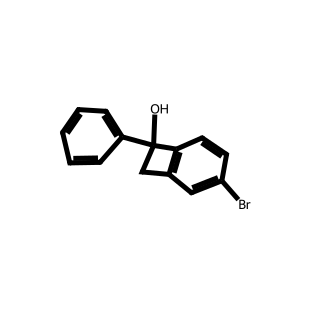 OC1(c2ccccc2)Cc2cc(Br)ccc21